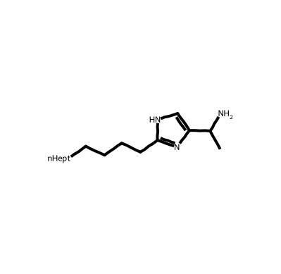 CCCCCCCCCCCc1nc(C(C)N)c[nH]1